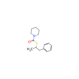 CC(Cc1ccccc1)SC(=O)N1CCCCC1